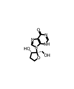 O=c1nc[nH]c2c1ncn2[C@@]1(CO)OCC[C@@H]1O